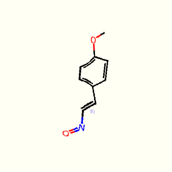 COc1ccc(/C=C/N=O)cc1